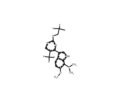 COc1ccc2c(-c3nc(OCC(F)(F)F)ncc3C(F)(F)F)c[nH]c2c1P(C)C